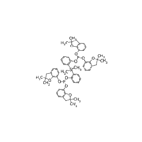 CC1(C)Cc2cccc(OP(Oc3ccccc3[Si](C)(C)c3ccccc3OP(Oc3cccc4c3OC(C)(C)C4)Oc3cccc4c3OC(C)(C)C4)Oc3cccc4c3OC(C)(C)C4)c2O1